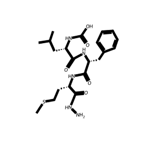 CSCC[C@H](NC(=O)[C@@H](Cc1ccccc1)NC(=O)[C@H](CC(C)C)NC(=O)O)C(=O)NN